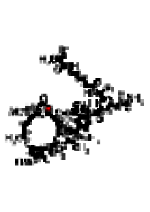 C=C(CBr)C(=O)NCCCCCC(=O)N[C@H](C(=O)N[C@@H](CCCNC(N)=O)C(=O)Nc1ccc(C(=O)N(C)[C@@H](C)C(=O)O[C@H]2CC(=O)N(C)c3cc(cc(OC)c3Cl)C/C(C)=C/C=C/[C@@H](OC)[C@@]3(O)C[C@H](OC(=O)N3)[C@@H](C)[C@@H]3O[C@@]23C)cc1S(C)(=O)=O)C(C)C